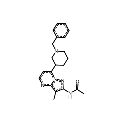 CC(=O)Nc1nn2c(C3CCCN(Cc4ccccc4)C3)ccnc2c1C